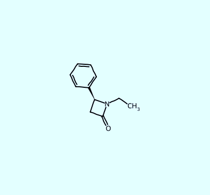 CCN1C(=O)C[C@H]1c1ccccc1